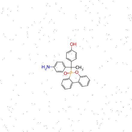 CC(c1ccc(N)cc1)(c1ccc(O)cc1)P1(=O)Oc2ccccc2-c2ccccc21